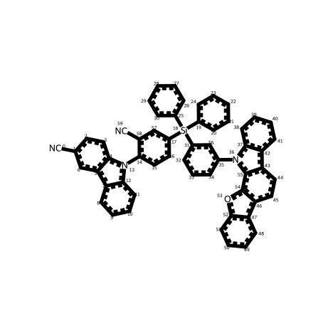 N#Cc1ccc2c(c1)c1ccccc1n2-c1ccc([Si](c2ccccc2)(c2ccccc2)c2cccc(-n3c4ccccc4c4ccc5c6ccccc6oc5c43)c2)cc1C#N